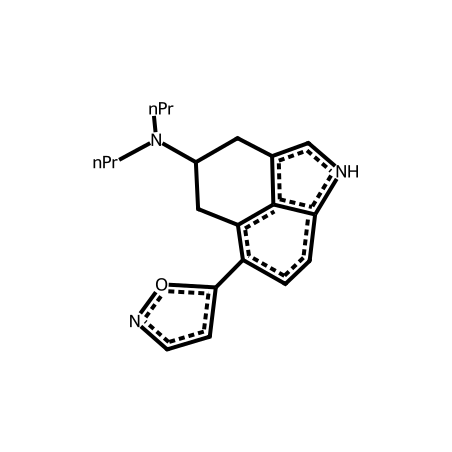 CCCN(CCC)C1Cc2c[nH]c3ccc(-c4ccno4)c(c23)C1